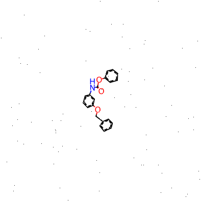 O=C(Nc1cccc(OCc2ccccc2)c1)Oc1ccccc1